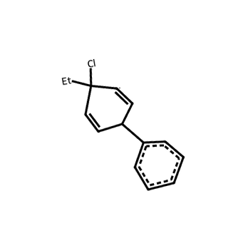 CCC1(Cl)[C]=CC(c2ccccc2)C=C1